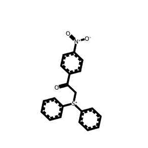 O=C(C[S+](c1ccccc1)c1ccccc1)c1ccc([N+](=O)[O-])cc1